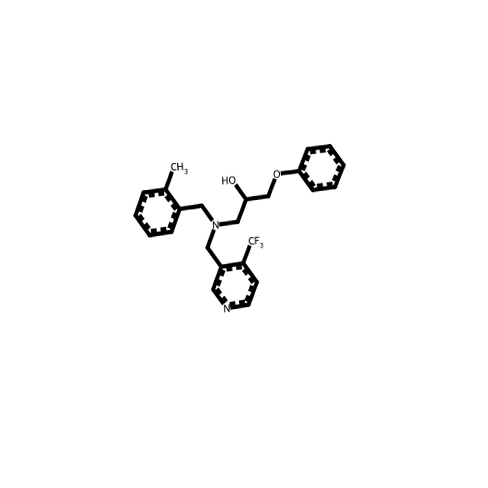 Cc1ccccc1CN(Cc1cnccc1C(F)(F)F)CC(O)COc1ccccc1